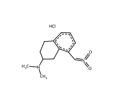 CN(C)C1CCc2cccc(C=S(=O)=O)c2C1.Cl